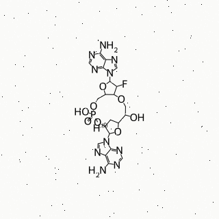 Nc1ncnc2c1ncn2C1OC2COP(=O)(O)O[C@H]3CC(OC3n3cnc4c(N)ncnc43)C(O)COC2C1F